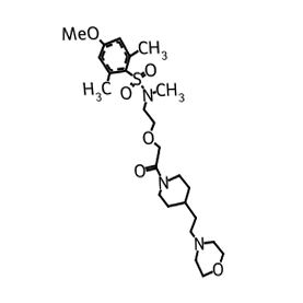 COc1cc(C)c(S(=O)(=O)N(C)CCOCC(=O)N2CCC(CCN3CCOCC3)CC2)c(C)c1